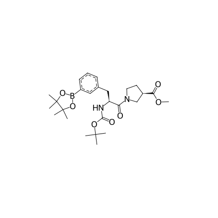 COC(=O)[C@@H]1CCN(C(=O)[C@H](Cc2cccc(B3OC(C)(C)C(C)(C)O3)c2)NC(=O)OC(C)(C)C)C1